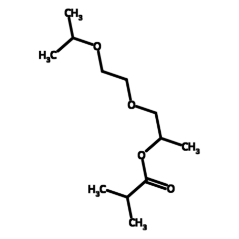 CC(C)OCCOCC(C)OC(=O)C(C)C